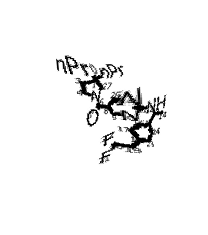 CCCC1(CCC)CCN(C(=O)c2cnc(NC(C)c3ccc(CC(F)F)cc3)nc2)C1